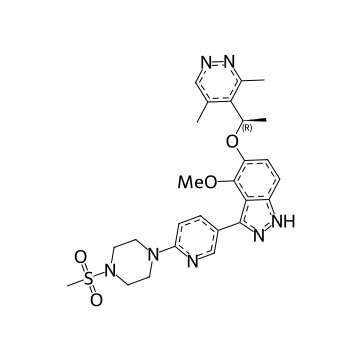 COc1c(O[C@H](C)c2c(C)cnnc2C)ccc2[nH]nc(-c3ccc(N4CCN(S(C)(=O)=O)CC4)nc3)c12